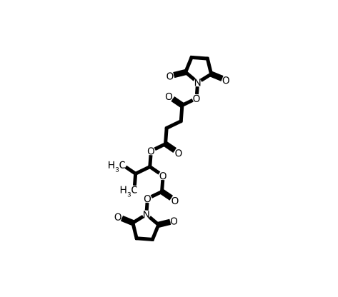 CC(C)C(OC(=O)CCC(=O)ON1C(=O)CCC1=O)OC(=O)ON1C(=O)CCC1=O